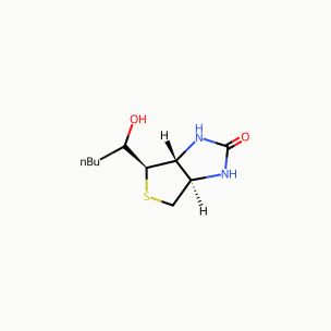 CCCCC(O)[C@@H]1SC[C@@H]2NC(=O)N[C@H]21